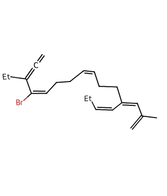 C=C=C(CC)/C(Br)=C\CC/C=C\CCC(/C=C\CC)=C/C(=C)C